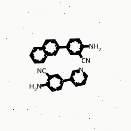 N#Cc1cc(-c2ccc3ccccc3c2)ccc1N.N#Cc1cc(-c2cccnc2)ccc1N